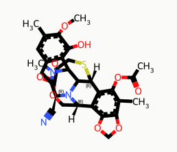 COc1c(C)cc2c(c1O)C1C3[C@@H]4SCC(=O)C(=O)OC[C@@H](c5c6c(c(C)c(OC(C)=O)c54)OCO6)N3[C@@H](C#N)C(C2)N1C